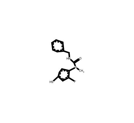 CN(C(=O)NCc1ccccc1)c1ccc(S)cc1F